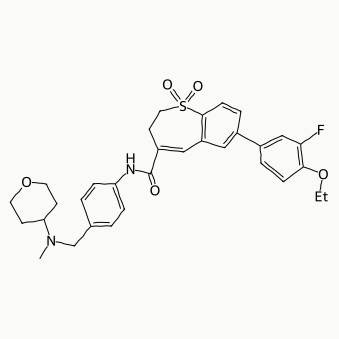 CCOc1ccc(-c2ccc3c(c2)C=C(C(=O)Nc2ccc(CN(C)C4CCOCC4)cc2)CCS3(=O)=O)cc1F